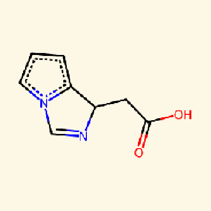 O=C(O)CC1N=Cn2cccc21